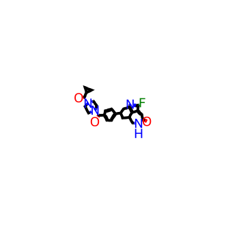 O=C1C=C2C(F)=NC3=C2C(CN1)CC(c1ccc(C(=O)N2CCN(C(=O)C4CC4)CC2)cc1)C3